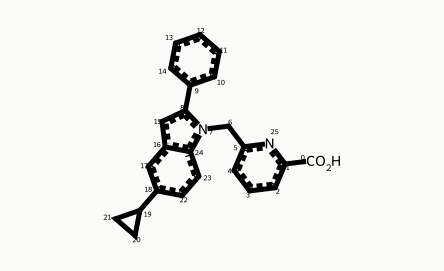 O=C(O)c1cccc(Cn2c(-c3ccccc3)cc3cc(C4CC4)ccc32)n1